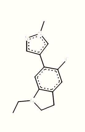 CCN1CCc2cc(F)c(-c3cnn(C)c3)cc21